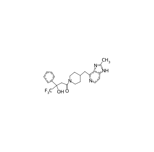 Cc1nc2c(CC3CCN(C(=O)CC(O)(c4ccccc4)C(F)(F)F)CC3)nccc2[nH]1